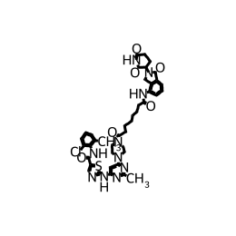 Cc1nc(Nc2ncc(C(=O)Nc3c(C)cccc3Cl)s2)cc(N2CCN(C(=O)CCCCCCC(=O)Nc3cccc4c3CN(C3CCC(=O)NC3=O)C4=O)CC2)n1